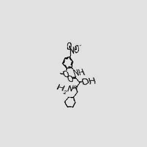 COc1ccc([N+](=O)[O-])cc1NC(=O)C(O)[C@H](N)CC1CCCCC1